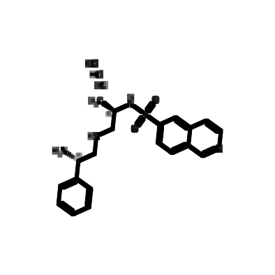 C[C@H](CNC[C@@H](N)c1ccccc1)NS(=O)(=O)c1ccc2cnccc2c1.Cl.Cl.Cl